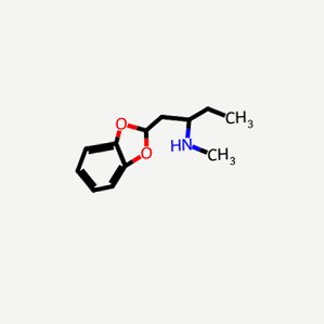 CCC(CC1Oc2ccccc2O1)NC